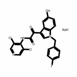 O=C(Nc1c(Cl)cncc1Cl)C(=O)c1cn(Cc2ccc(F)cc2)c2ccc(O)cc12.[NaH]